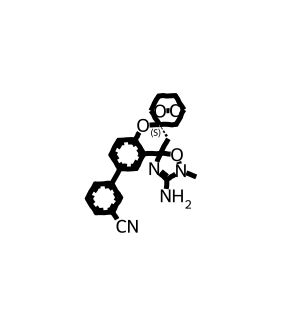 CN1OC2(C[C@]3(CC4CCC3OC4)Oc3ccc(-c4cccc(C#N)c4)cc32)N=C1N